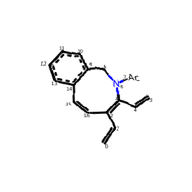 C=CC1=C(\C=C)N(C(C)=O)Cc2ccccc2/C=C\1